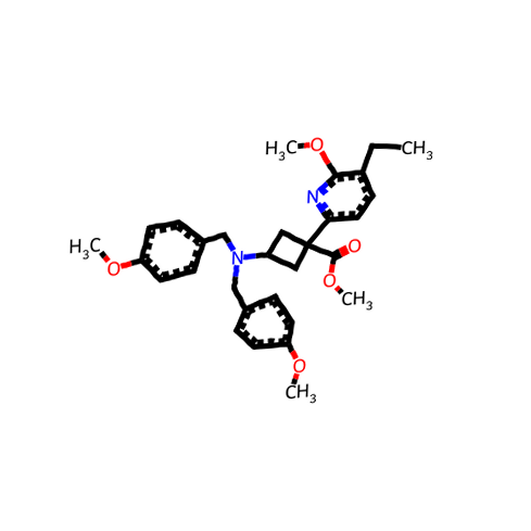 CCc1ccc(C2(C(=O)OC)CC(N(Cc3ccc(OC)cc3)Cc3ccc(OC)cc3)C2)nc1OC